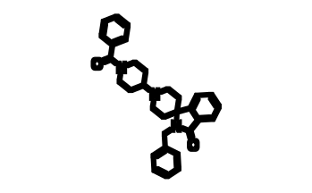 O=C(c1ccccc1)N1CCC(N2CCC3(CC2)c2ccccc2C(=O)N3Cc2ccccc2)CC1